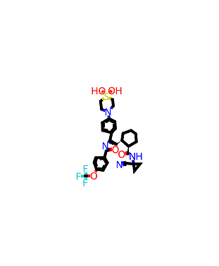 N#CC1(NC(=O)[C@@H]2CCCC[C@H]2c2oc(-c3ccc(OC(F)(F)F)cc3)nc2-c2ccc(N3CCS(O)(O)CC3)cc2)CC1